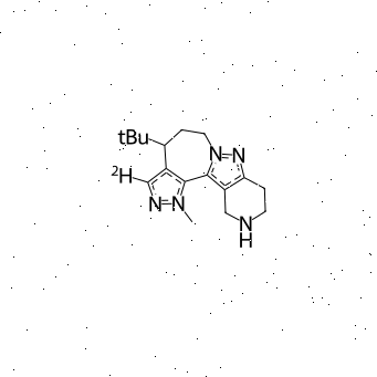 [2H]c1nn(C)c2c1C(C(C)(C)C)CCn1nc3c(c1-2)CNCC3